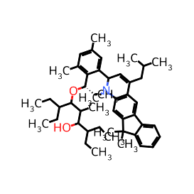 CCC(CC)C(O)C(C)C(O[C@@H](CC)c1c(C)cc(C)cc1C1C=C(CC(C)C)c2cc3c(cc2N1C)C(C)(C)c1ccccc1-3)C(CC)CC